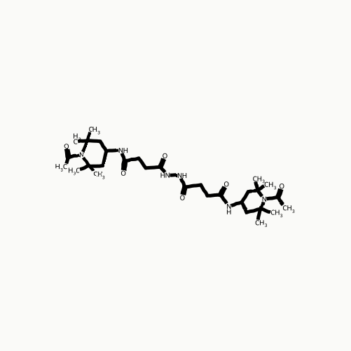 CC(=O)N1C(C)(C)CC(NC(=O)CCC(=O)NNC(=O)CCC(=O)NC2CC(C)(C)N(C(C)=O)C(C)(C)C2)CC1(C)C